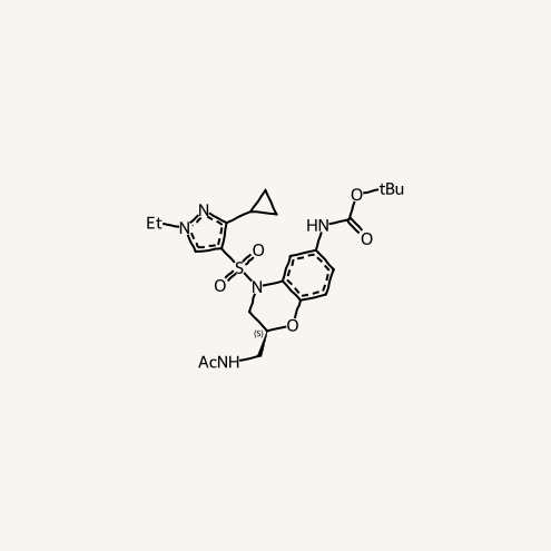 CCn1cc(S(=O)(=O)N2C[C@H](CNC(C)=O)Oc3ccc(NC(=O)OC(C)(C)C)cc32)c(C2CC2)n1